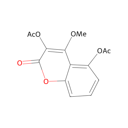 COc1c(OC(C)=O)c(=O)oc2cccc(OC(C)=O)c12